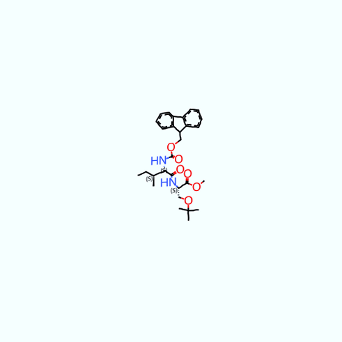 CC[C@H](C)[C@H](NC(=O)OCC1c2ccccc2-c2ccccc21)C(=O)N[C@@H](COC(C)(C)C)C(=O)OC